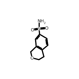 NS(=O)(=O)c1ccc2c(c1)COCC2